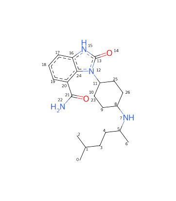 CC(C)CCC(C)NC1CCC(n2c(=O)[nH]c3cccc(C(N)=O)c32)CC1